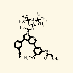 C=CC(=O)Nc1cc(OC)cc(-c2cnc3c(c2)c(-c2cccc(C#N)c2)cn3C(C)OP(=O)(OC(C)(C)C)OC(C)(C)C)c1